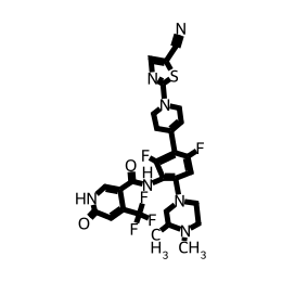 CC1CN(c2cc(F)c(C3=CCN(c4ncc(C#N)s4)CC3)c(F)c2NC(=O)c2c[nH]c(=O)cc2C(F)(F)F)CCN1C